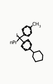 [CH2]CCC(I)(c1ccc(C)cc1)c1ccc(C2CCCCC2)cc1